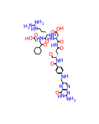 Nc1nc2ncc(CNc3ccc(C(=O)N[C@H](C=O)CCC(=O)NC(=O)[C@H](CC(=O)O)NN[C@@H](CCCNC(N)N)C(=O)N[C@@H](CC(=O)O)C(=O)C4CCCCC4)cc3)nc2c(=O)[nH]1